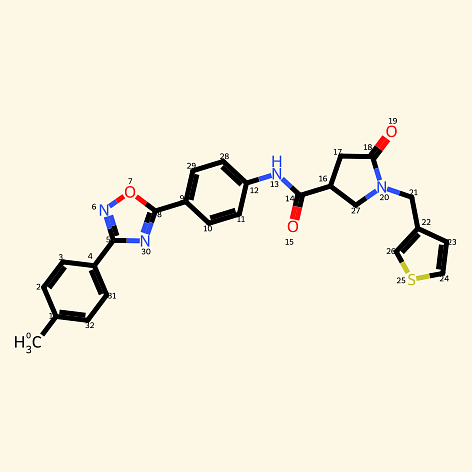 Cc1ccc(-c2noc(-c3ccc(NC(=O)C4CC(=O)N(Cc5ccsc5)C4)cc3)n2)cc1